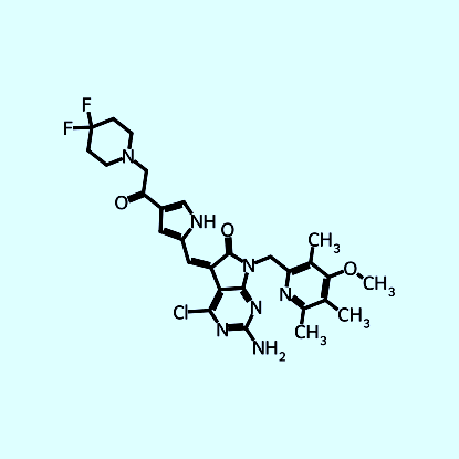 COc1c(C)c(C)nc(CN2C(=O)/C(=C\c3cc(C(=O)CN4CCC(F)(F)CC4)c[nH]3)c3c(Cl)nc(N)nc32)c1C